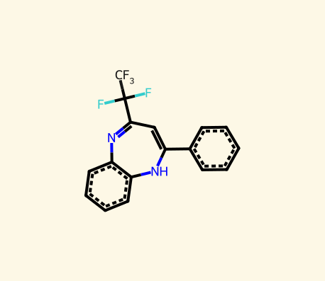 FC(F)(F)C(F)(F)C1=Nc2ccccc2NC(c2ccccc2)=C1